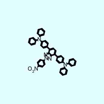 O=[N+]([O-])c1ccc(-n2nc3c(-c4ccc(N(c5ccccc5)c5ccccc5)cc4)ccc(-c4ccc(N(c5ccccc5)c5ccccc5)cc4)c3n2)cc1